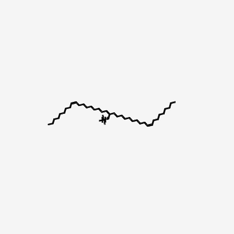 CCCCCCCC/C=C\CCCCCCCCCC(CCCCCCCC/C=C\CCCCCCCC)C[N+](C)(C)C